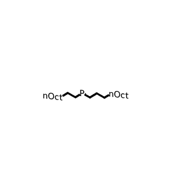 CCCCCCCCCCC[P]CCCCCCCCCC